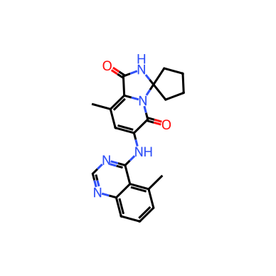 Cc1cc(Nc2ncnc3cccc(C)c23)c(=O)n2c1C(=O)NC21CCCC1